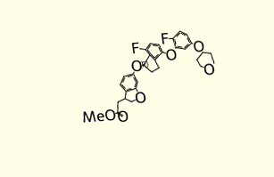 COC(=O)CC1COc2cc(O[C@@H]3CCc4c(Oc5cc(OC6CCOCC6)ccc5F)ccc(F)c43)ccc21